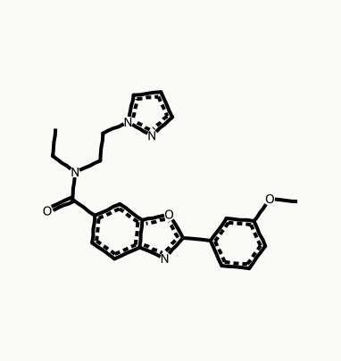 CCN(CCn1cccn1)C(=O)c1ccc2nc(-c3cccc(OC)c3)oc2c1